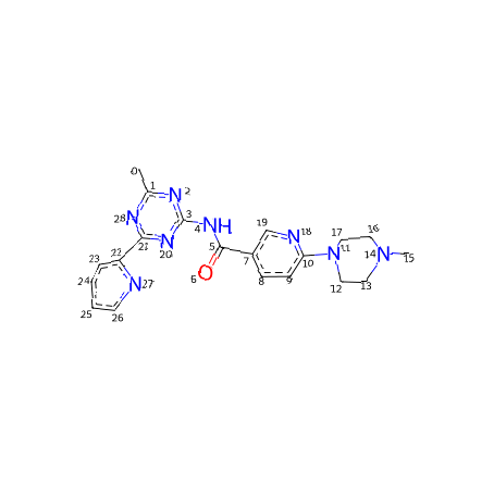 Cc1nc(NC(=O)c2ccc(N3CCN(C)CC3)nc2)nc(-c2ccccn2)n1